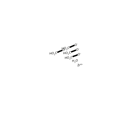 O.O=C([O-])O.O=C([O-])O.O=C([O-])O.O=C([O-])O.[Zr+4]